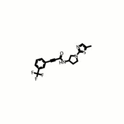 Cc1cnc(N2CCC(NC(=O)C#Cc3cccc(C(F)(F)F)c3)C2)s1